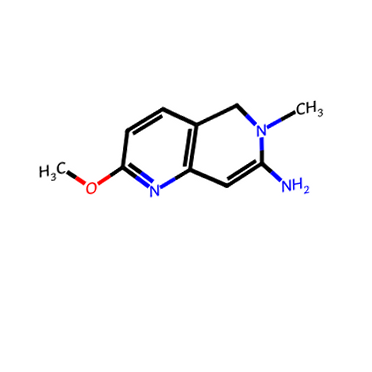 COc1ccc2c(n1)C=C(N)N(C)C2